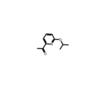 CC(=O)c1cccc(OC(C)C)n1